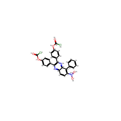 O=C(Cl)Oc1ccc(-c2nc3ccc([N+](=O)[O-])c(-c4ccccc4)c3nc2-c2ccc(OC(=O)Cl)cc2)cc1